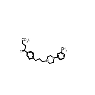 Cc1cccc(N2CCN(CCCc3ccc(C(=O)CCC(=O)O)cc3)CC2)c1